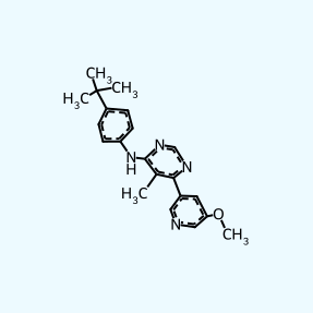 COc1cncc(-c2ncnc(Nc3ccc(C(C)(C)C)cc3)c2C)c1